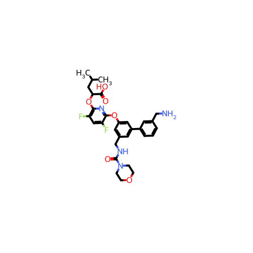 CC(C)CC(Oc1nc(Oc2cc(CNC(=O)N3CCOCC3)cc(-c3cccc(CN)c3)c2)c(F)cc1F)C(=O)O